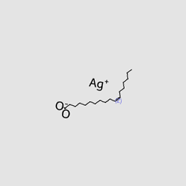 CCCCCC/C=C\CCCCCCCCCC(=O)[O-].[Ag+]